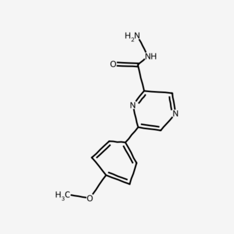 COc1ccc(-c2cncc(C(=O)NN)n2)cc1